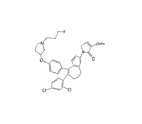 COC1=CCN(c2ccc3c(c2)CCCC(c2ccc(Cl)cc2Cl)=C3c2ccc(OC3CCN(CCCF)C3)cc2)C1=O